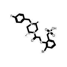 C[C@@H]1CN(Cc2ccc(F)cc2)[C@@H](C)CN1C(=O)COc1c(Br)cccc1CS(=O)(=O)O